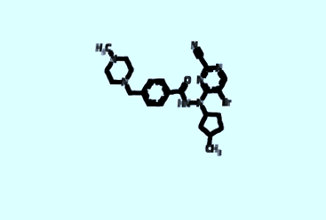 CC1CCC(N(NC(=O)c2ccc(CN3CCN(C)CC3)cc2)c2nc(C#N)ncc2Br)C1